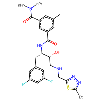 CCCN(CCC)C(=O)c1cc(C)cc(C(=O)N[C@@H](Cc2cc(F)cc(F)c2)[C@H](O)CNCc2nnc(CC)s2)c1